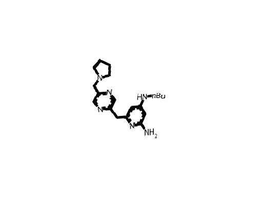 CCCCNc1cc(N)nc(Cc2cnc(CN3CCCC3)cn2)c1